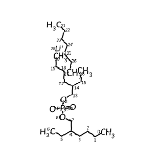 CCCCC(CC)COP(=O)([O-])OCC(CC)CCCC.CCCCCCC.[Li+]